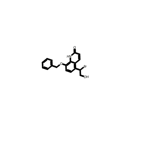 O=c1ccc2c(C(Br)CO)ccc(OCc3ccccc3)c2[nH]1